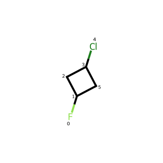 FC1CC(Cl)C1